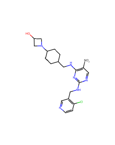 O=[N+]([O-])c1cnc(NCc2cnccc2Cl)nc1NCC1CCC(N2CC(O)C2)CC1